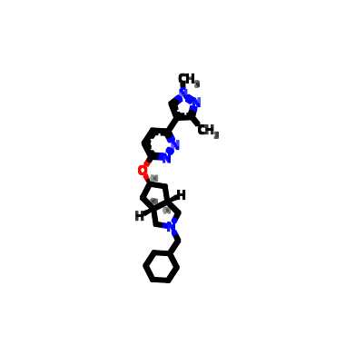 Cc1nn(C)cc1-c1ccc(O[C@H]2C[C@@H]3CN(CC4CCCCC4)C[C@@H]3C2)nn1